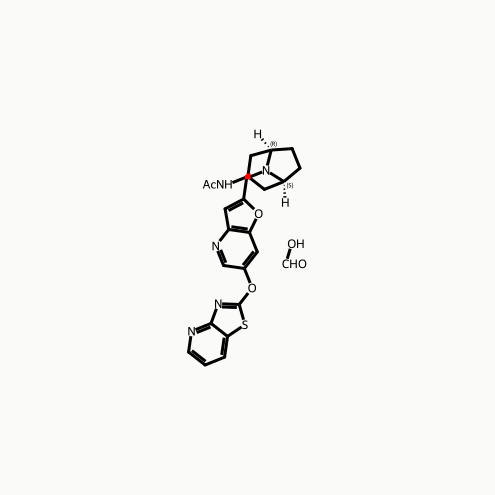 CC(=O)NC1C[C@H]2CC[C@@H](C1)N2Cc1cc2ncc(Oc3nc4ncccc4s3)cc2o1.O=CO